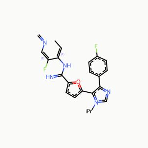 C=N/C=C(F)\C(=C/C)NC(=N)c1ccc(-c2c(-c3ccc(F)cc3)ncn2C(C)C)o1